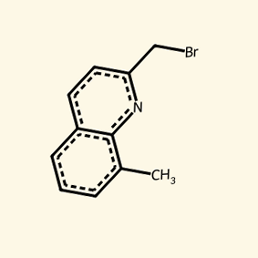 Cc1cccc2ccc(CBr)nc12